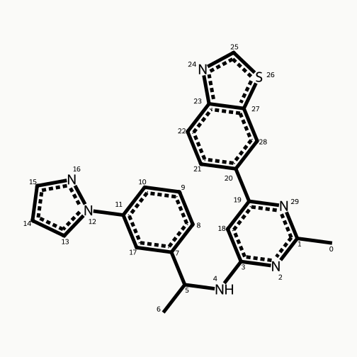 Cc1nc(NC(C)c2cccc(-n3cccn3)c2)cc(-c2ccc3ncsc3c2)n1